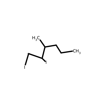 CCCC(C)C(I)[CH]I